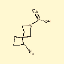 NC1CCC12CN(C(=O)O)C2